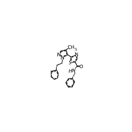 Cc1cnn(CCc2ccccc2)c1-c1ncc(C(=O)NCc2ccccc2)s1